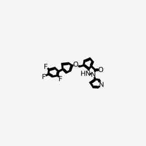 O=c1c2cccc(COc3ccc(-c4cc(F)c(F)cc4F)cc3)c2[nH]n1-c1cccnc1